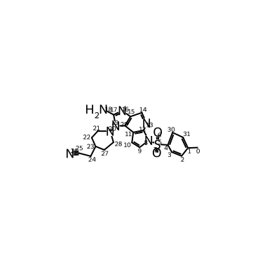 Cc1ccc(S(=O)(=O)n2ccc3c2ncc2nc(N)n(N4CCC(CC#N)CC4)c23)cc1